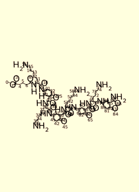 COC(=O)CCCC(=O)N[C@@H](CCCCCN)C(=O)Nc1ccc(OC)c(C(=O)N[C@@H](CCCCCN)C(=O)Nc2ccc(OC)c(C(=O)N[C@@H](CCCCCN)C(=O)Nc3ccc(OC)c(C(=O)N[C@@H](CCCCN)C(=O)Nc4ccc(OC)c(C(N)=O)c4)c3)c2)c1